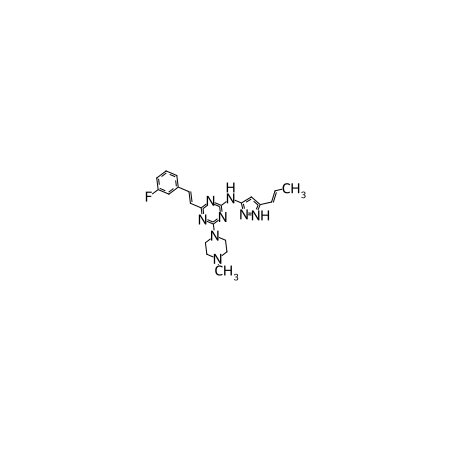 C/C=C/c1cc(Nc2nc(/C=C/c3cccc(F)c3)nc(N3CCN(C)CC3)n2)n[nH]1